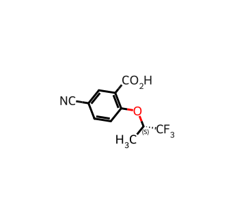 C[C@H](Oc1ccc(C#N)cc1C(=O)O)C(F)(F)F